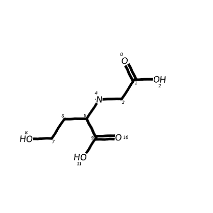 O=C(O)C[N]C(CCO)C(=O)O